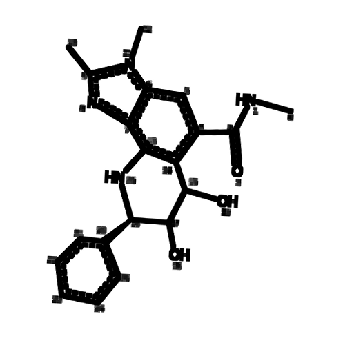 CNC(=O)c1cc2c(nc(C)n2C)c2c1C(O)C(O)[C@@H](c1ccccc1)N2